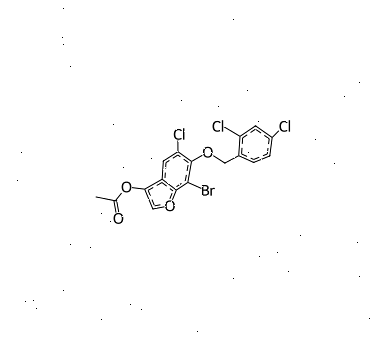 CC(=O)Oc1coc2c(Br)c(OCc3ccc(Cl)cc3Cl)c(Cl)cc12